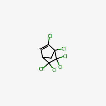 ClC1=[C]C2CC1(Cl)C(Cl)(Cl)C2(Cl)Cl